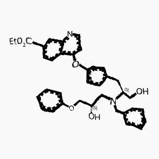 CCOC(=O)c1ccc2c(Oc3ccc(C[C@@H](CO)N(Cc4ccccc4)C[C@H](O)COc4ccccc4)cc3)ccnc2c1